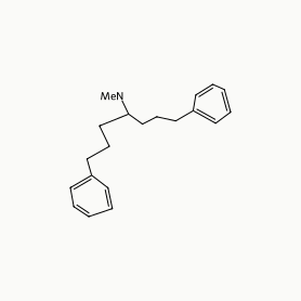 CNC(CCCc1ccccc1)CCCc1ccccc1